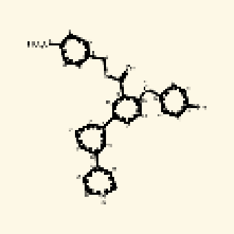 O=C(O)c1ccc(CNC(=O)c2cc(-c3cccc(-c4ccncc4)c3)ccc2Oc2ccc(F)cc2)cc1